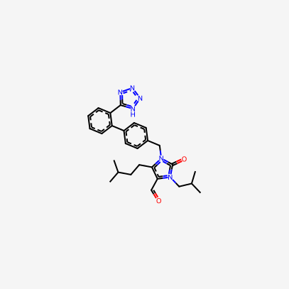 CC(C)CCc1c(C=O)n(CC(C)C)c(=O)n1Cc1ccc(-c2ccccc2-c2nnn[nH]2)cc1